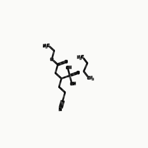 CCCC.CCOC(=O)CC(CCC#N)P(=O)(O)O